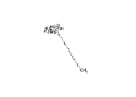 C=CCCCCCCCCCCCCCCCCCCCCCC(O)(C[N+](C)(C)C)P(=O)(O)O